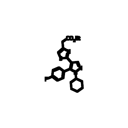 CCOC(=O)Cc1csc(-c2cnn(C3CCCCC3)c2-c2ccc(F)cc2)n1